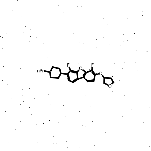 CCCC1CCC(c2ccc3c(oc4c(F)c(OC5CCOC5)ccc43)c2F)CC1